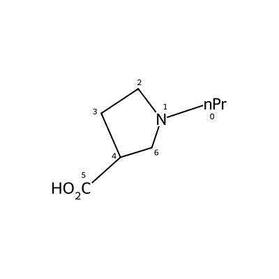 CCCN1CCC(C(=O)O)C1